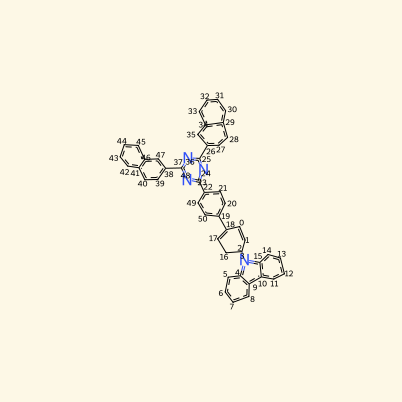 C1=CC(n2c3ccccc3c3ccccc32)CC=C1c1ccc(-c2nc(-c3ccc4ccccc4c3)nc(-c3ccc4ccccc4c3)n2)cc1